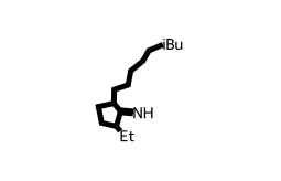 CCC(C)CCCCCC1CCC(CC)C1=N